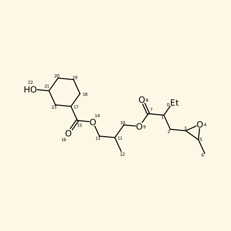 CCC(CC1OC1C)C(=O)OCC(C)COC(=O)C1CCCC(O)C1